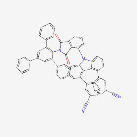 N#Cc1cccc(-c2cccc3c2c2c(-c4cccc(C#N)c4)cccc2n3-c2cccc3c2C(=O)N(c2c(-c4ccccc4)cc(-c4ccccc4)cc2-c2ccccc2)C3=O)c1